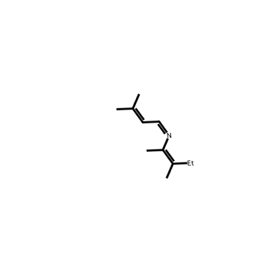 CC/C(C)=C(C)\N=C/C=C(C)C